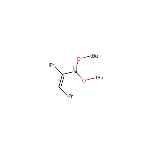 CC(C)/C=C(/C(C)C)[SiH](OC(C)(C)C)OC(C)(C)C